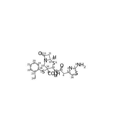 Nc1nc(CC(=O)NC2S[C@@H]3CC(=O)N3CC2(Sc2ccccc2I)C(=O)O)cs1